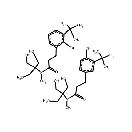 CCC(CO)(CO)N(C)C(=O)CCc1ccc(O)c(C(C)(C)C)c1.CCC(CO)(CO)N(C)C(=O)CCc1cccc(C(C)(C)C)c1O